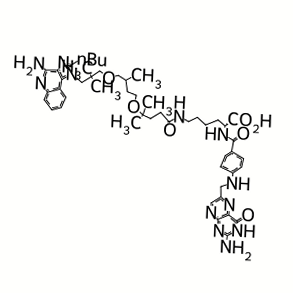 CCCCc1nc2c(N)nc3ccccc3c2n1CC(C)(C)COCC(C)CCOC(C)(C)CCC(=O)NCCCC[C@H](NC(=O)c1ccc(NCc2cnc3nc(N)[nH]c(=O)c3n2)cc1)C(=O)O